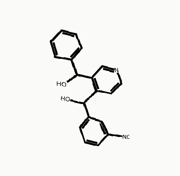 [C-]#[N+]c1cccc(C(O)c2ccncc2C(O)c2ccccc2)c1